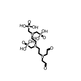 O=CCN(CC=O)CCN(CCN(CP(=O)(O)O)CP(=O)(O)O)CP(=O)(O)O